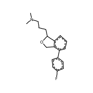 CN(C)CCCC1OCc2c(-c3ccc(F)cc3)cccc21